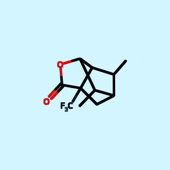 CC1C2CC3(C(F)(F)F)C(=O)OC1C3C2C